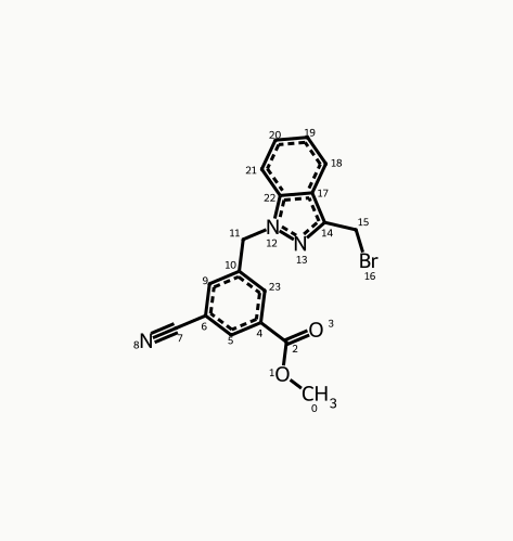 COC(=O)c1cc(C#N)cc(Cn2nc(CBr)c3ccccc32)c1